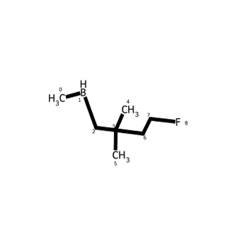 CBCC(C)(C)CCF